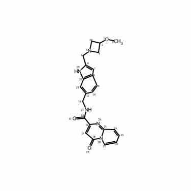 COC1CN(Cc2cc3ccc(CNC(=O)c4cc(=O)n5ccccc5n4)cc3[nH]2)C1